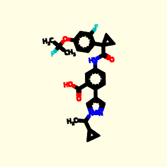 CC(C1CC1)n1cc(-c2ccc(NC(=O)C3(c4ccc(OC(C)(C)F)cc4F)CC3)cc2C(=O)O)cn1